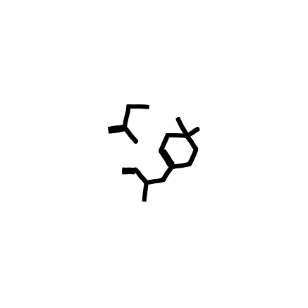 C=C(C)CC.C=CC(C)CC1=CCC(C)(C)CC1